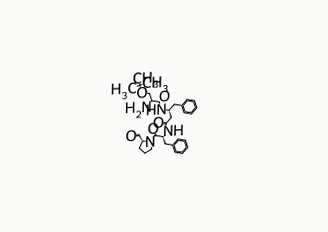 CC(C)(C)OC[C@H](N)C(=O)N[C@H](CC(=O)N[C@@H](Cc1ccccc1)C(=O)N1CCC[C@H]1C=O)Cc1ccccc1